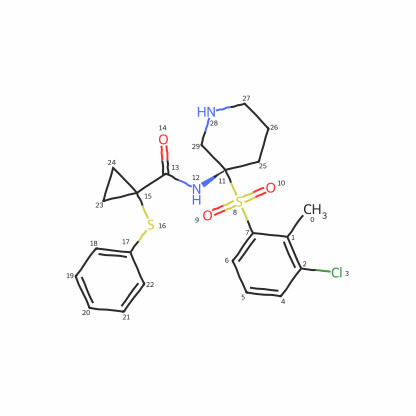 Cc1c(Cl)cccc1S(=O)(=O)[C@@]1(NC(=O)C2(Sc3ccccc3)CC2)CCCNC1